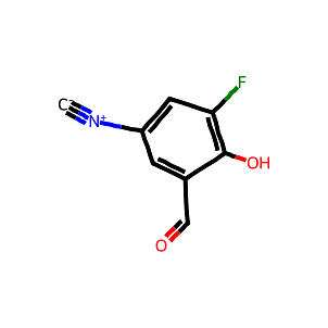 [C-]#[N+]c1cc(F)c(O)c(C=O)c1